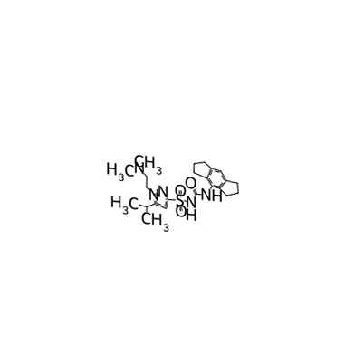 CC(C)c1cc(S(=O)(=O)NC(=O)Nc2c3c(cc4c2CCC4)CCC3)nn1CCN(C)C